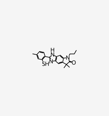 CCCN1C(=O)C(C)(C)c2cc3nc(-c4ccc(C)cc4S)[nH]c3cc21